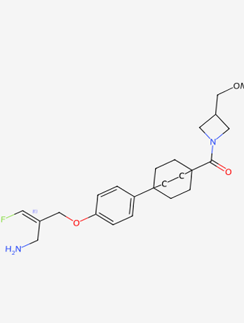 COCC1CN(C(=O)C23CCC(c4ccc(OC/C(=C/F)CN)cc4)(CC2)CC3)C1